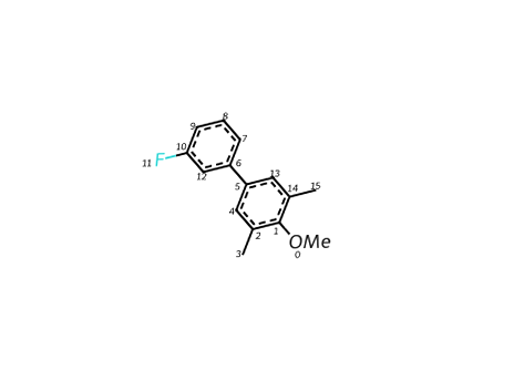 COc1c(C)cc(-c2cccc(F)c2)cc1C